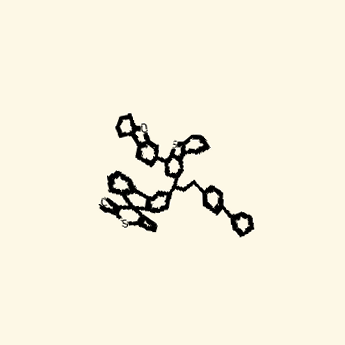 c1ccc(-c2ccc(CCC(c3ccc4c(c3)-c3ccccc3C43c4ccccc4Sc4ccccc43)c3cc(-c4ccc5c(c4)oc4ccccc45)c4sc5ccccc5c4c3)cc2)cc1